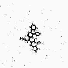 CCC1(CC)c2ccccc2-c2ccc(/C(=N\O)C(CC3CCCC3)/C(C)=N/O)cc21